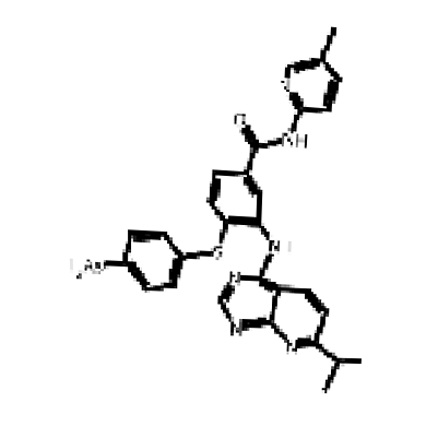 Cc1ccc(NC(=O)c2ccc(Sc3ccc([AsH2])cc3)c(Nc3ncnc4nc(C(C)C)ccc34)c2)nc1